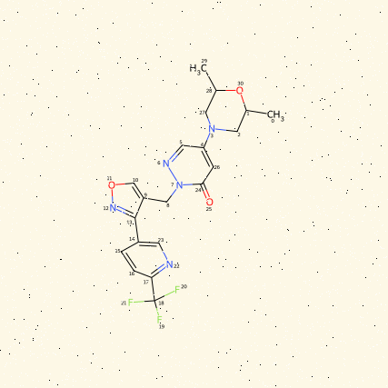 CC1CN(c2cnn(Cc3conc3-c3ccc(C(F)(F)F)nc3)c(=O)c2)CC(C)O1